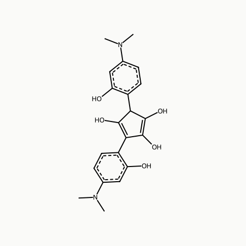 CN(C)c1ccc(C2=C(O)C(c3ccc(N(C)C)cc3O)C(O)=C2O)c(O)c1